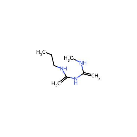 C=C(NC)NC(=C)NCCC